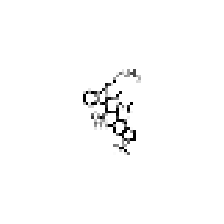 CCc1c(C2C(=O)Nc3cc4c(cc3N2OC(C)=O)CCN4C(C)=O)c2ccccc2n1CCCN